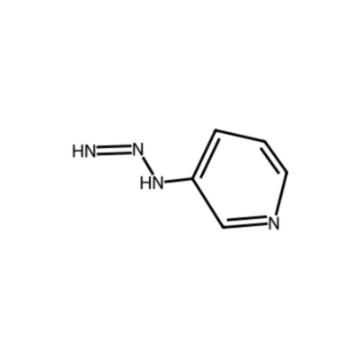 N=NNc1cccnc1